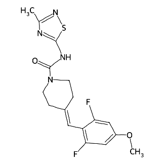 COc1cc(F)c(C=C2CCN(C(=O)Nc3nc(C)ns3)CC2)c(F)c1